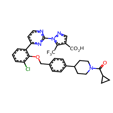 O=C(O)c1cnn(-c2nccc(-c3cccc(Cl)c3OCc3ccc(C4CCN(C(=O)C5CC5)CC4)cc3)n2)c1C(F)(F)F